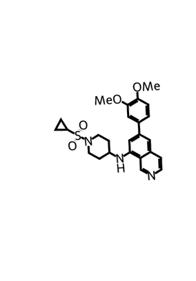 COc1ccc(-c2cc(NC3CCN(S(=O)(=O)C4CC4)CC3)c3cnccc3c2)cc1OC